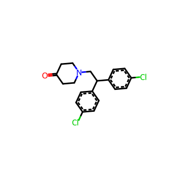 O=C1CCN(CC(c2ccc(Cl)cc2)c2ccc(Cl)cc2)CC1